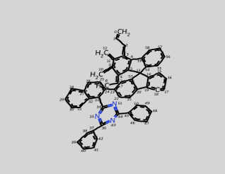 C=C/C=c1/c2c(/c(=C/C)c(=C)c1=C)C1(c3ccccc3-c3ccc(-c4ccc5ccccc5c4-c4nc(-c5ccccc5)nc(-c5ccccc5)n4)cc31)c1ccccc1-2